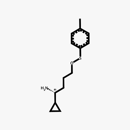 Cc1ccc(SOCCC[C@@H](N)C2CC2)cc1